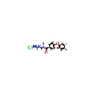 O=C(NCCCNCl)c1ccc(Oc2ccccc2)cc1